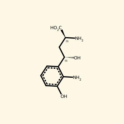 Nc1c(O)cccc1[C@@H](O)C[C@H](N)C(=O)O